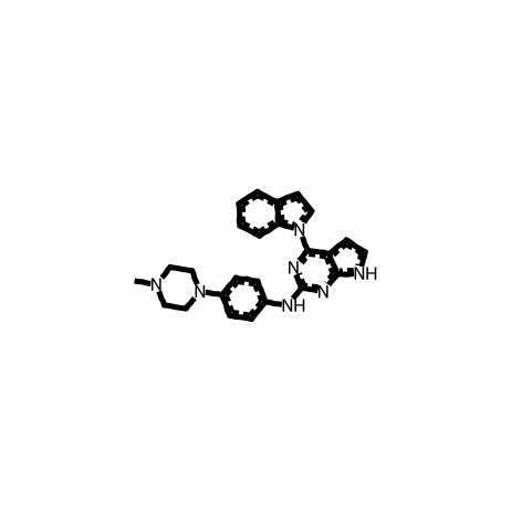 CN1CCN(c2ccc(Nc3nc(-n4ccc5ccccc54)c4cc[nH]c4n3)cc2)CC1